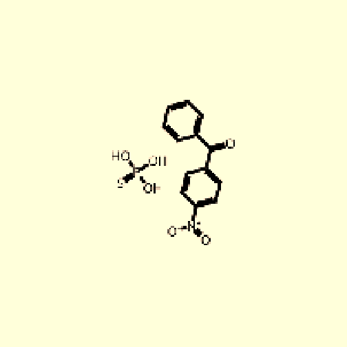 O=C(c1ccccc1)c1ccc([N+](=O)[O-])cc1.OP(O)(O)=S